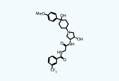 COc1ccc(C2(O)CCC(N3C[C@@H](O)[C@@H](NC(=O)CNC(=O)c4cccc(C(F)(F)F)c4)C3)CC2)cc1